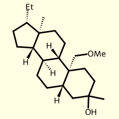 CC[C@H]1CC[C@H]2[C@@H]3CC[C@H]4CC(C)(O)CC[C@]4(COC)[C@H]3CC[C@]12C